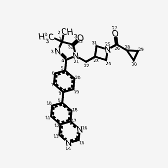 CC1(C)N=C(c2ccc(-c3ccc4cncnc4c3)cc2)N(CC2CN(C(=O)C3CC3)C2)C1=O